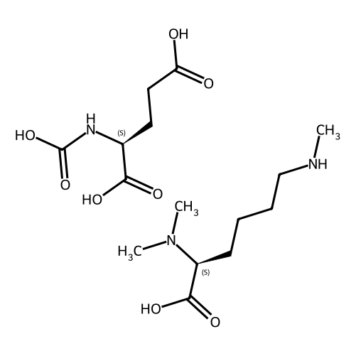 CNCCCC[C@@H](C(=O)O)N(C)C.O=C(O)CC[C@H](NC(=O)O)C(=O)O